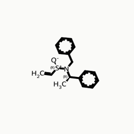 C=C[S@+]([O-])N(Cc1ccccc1)[C@H](C)c1ccccc1